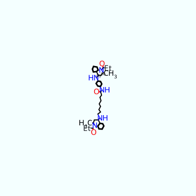 CCC(=O)N1c2ccccc2C(NCCCCCCCCC(=O)Nc2ccc(N[C@@H]3C[C@H](C)N(C(=O)CC)c4ccccc43)cc2)CC1C